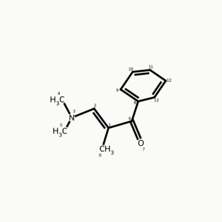 CC(=CN(C)C)C(=O)c1ccccc1